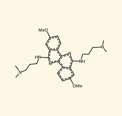 COc1ccc2c(c1)c(NCCCN(C)C)nc1c3ccc(OC)cc3c(NCCCN(C)C)nc21